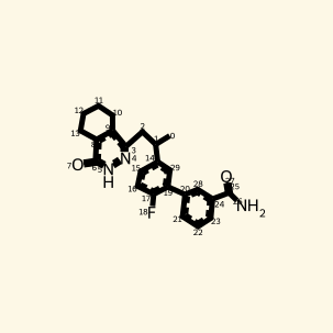 CC(Cc1n[nH]c(=O)c2c1CCCC2)c1ccc(F)c(-c2cccc(C(N)=O)c2)c1